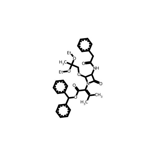 CCOC(C)(COC1C(NC(=O)Cc2ccccc2)C(=O)N1C(C(=O)OC(c1ccccc1)c1ccccc1)=C(C)C)OCC